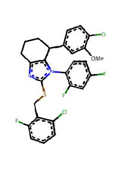 COc1cc(C2CCCc3nc(SCc4c(F)cccc4Cl)n(-c4ccc(F)cc4F)c32)ccc1Cl